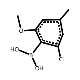 COc1cc(C)cc(Cl)c1B(O)O